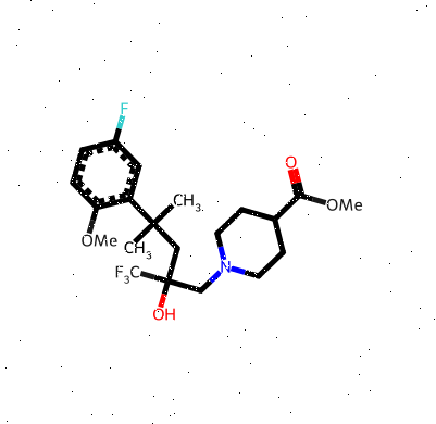 COC(=O)C1CCN(CC(O)(CC(C)(C)c2cc(F)ccc2OC)C(F)(F)F)CC1